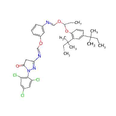 CCC(OC=Nc1cccc(OC=NC2=NN(c3c(Cl)cc(Cl)cc3Cl)C(=O)C2)c1)Oc1ccc(C(C)(C)CC)cc1C(C)(C)CC